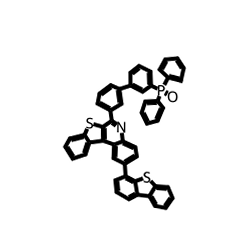 O=P(c1ccccc1)(c1ccccc1)c1cccc(-c2cccc(-c3nc4ccc(-c5cccc6c5sc5ccccc56)cc4c4c3sc3ccccc34)c2)c1